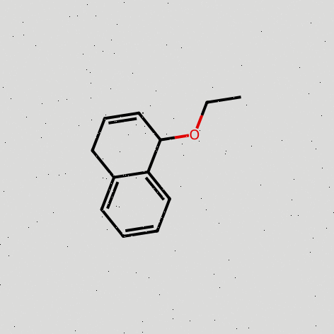 CCOC1[C]=CCc2ccccc21